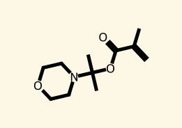 C=C(C)C(=O)OC(C)(C)N1CCOCC1